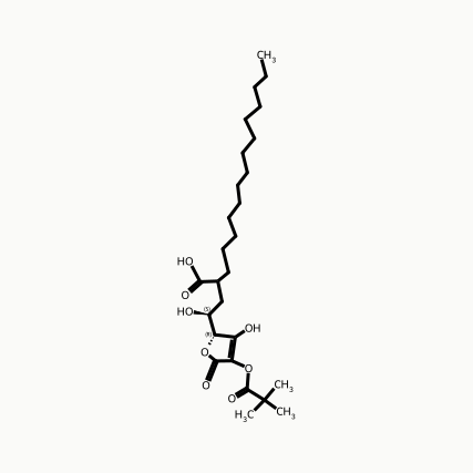 CCCCCCCCCCCCCCC(C[C@H](O)[C@H]1OC(=O)C(OC(=O)C(C)(C)C)=C1O)C(=O)O